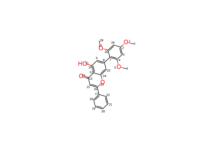 COc1cc(OC)c(-c2cc(O)c3c(=O)cc(-c4ccccc4)oc3c2)c(OC)c1